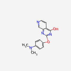 CN(C)c1ccc(Oc2nc(O)c3ccncc3n2)cc1